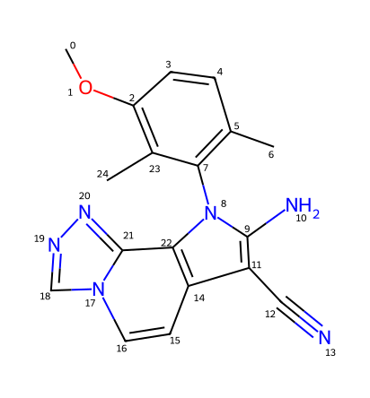 COc1ccc(C)c(-n2c(N)c(C#N)c3ccn4cnnc4c32)c1C